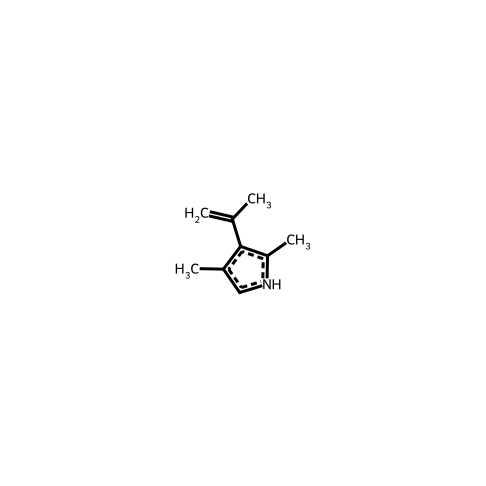 C=C(C)c1c(C)c[nH]c1C